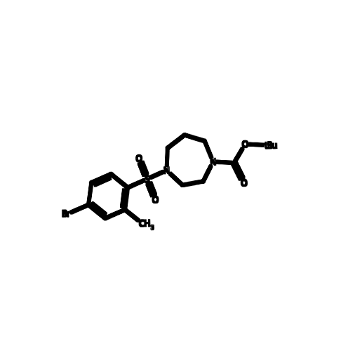 Cc1cc(Br)ccc1S(=O)(=O)N1CCCN(C(=O)OC(C)(C)C)CC1